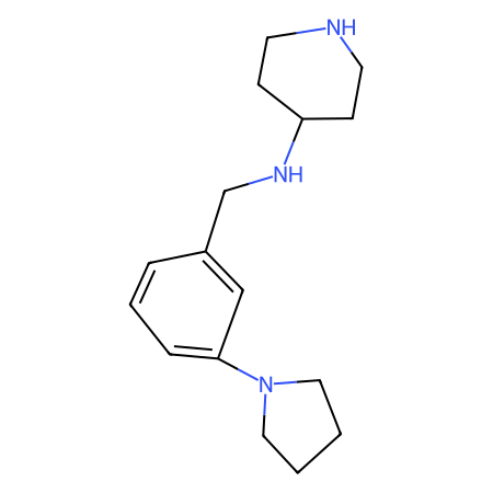 c1cc(CNC2CCNCC2)cc(N2CCCC2)c1